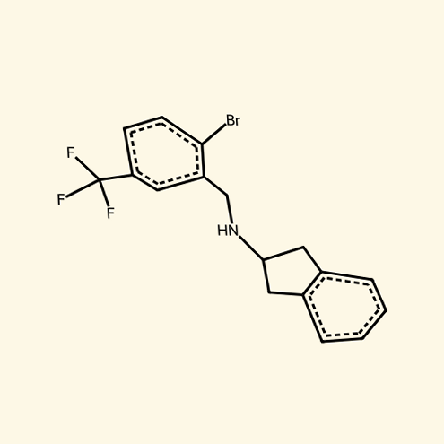 FC(F)(F)c1ccc(Br)c(CNC2Cc3ccccc3C2)c1